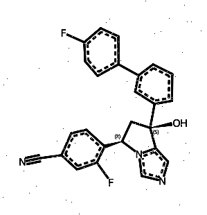 N#Cc1ccc([C@H]2C[C@](O)(c3cccc(-c4ccc(F)cc4)c3)c3cncn32)c(F)c1